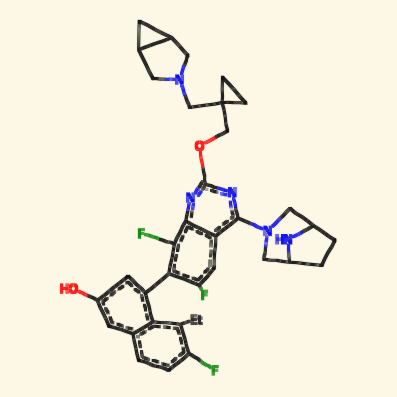 CCc1c(F)ccc2cc(O)cc(-c3c(F)cc4c(N5CC6CCC(C5)N6)nc(OCC5(CN6CC7CC7C6)CC5)nc4c3F)c12